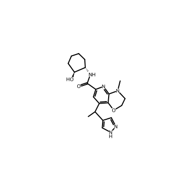 CC(c1cn[nH]c1)c1cc(C(=O)N[C@H]2CCCC[C@@H]2O)nc2c1OCCN2C